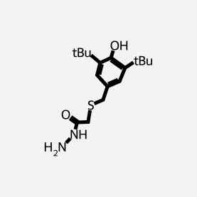 CC(C)(C)c1cc(CSCC(=O)NN)cc(C(C)(C)C)c1O